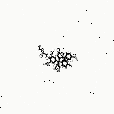 CCOC(=O)COc1c(OC)cc(C(C2=COCO2)(C2=CC(=O)OC2(O)c2ccc(OC)cc2)c2ccc(C)cc2)cc1OC